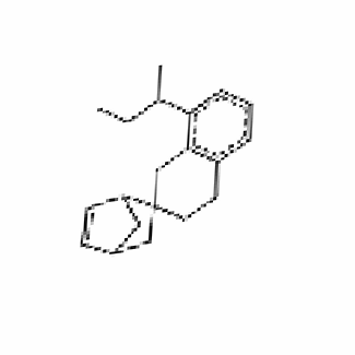 CCC(C)c1cccc2c1CC1(CC2)CC2C=CC1C2